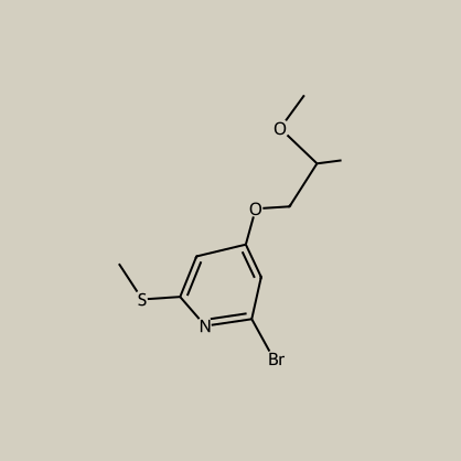 COC(C)COc1cc(Br)nc(SC)c1